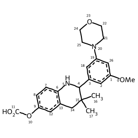 COc1cc(C2Nc3ccc(OC(=O)O)cc3CC2(C)C)cc(N2CCOCC2)c1